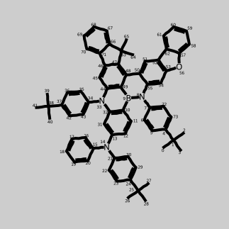 CC(C)(C)c1ccc(N2B3c4ccc(N(c5ccccc5)c5ccc(C(C)(C)C)cc5)cc4N(c4ccc(C(C)(C)C)cc4)c4cc5c(c(c43)-c3cc4c(cc32)oc2ccccc24)C(C)(C)c2ccccc2-5)cc1